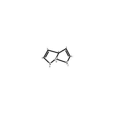 C1=CC2C=CS[S+]2S1